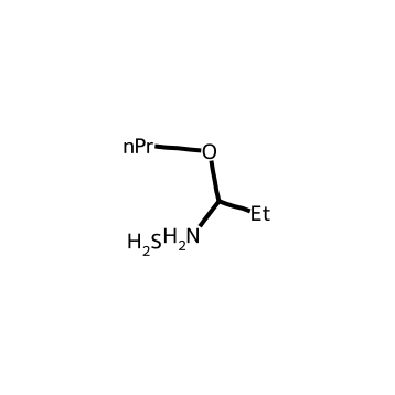 CCCOC(N)CC.S